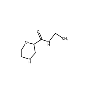 CCNC(=O)[C]1CNCCO1